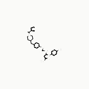 Cc1ccc(-n2nc(C(C)(C)C)cc2NC(=O)Nc2ccc(CC3CCN(C(=O)c4ccsc4)CC3)cc2)cc1